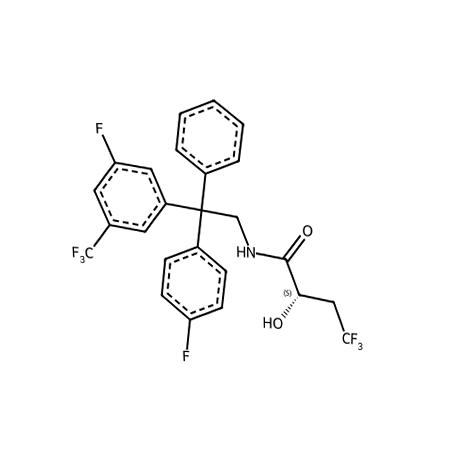 O=C(NCC(c1ccccc1)(c1ccc(F)cc1)c1cc(F)cc(C(F)(F)F)c1)[C@@H](O)CC(F)(F)F